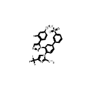 Cc1nc(C(F)(F)F)cn1-c1ccc(-c2cccc(S(C)(=O)=O)c2)cc1-n1nncc1-c1ccc(Cl)cc1F